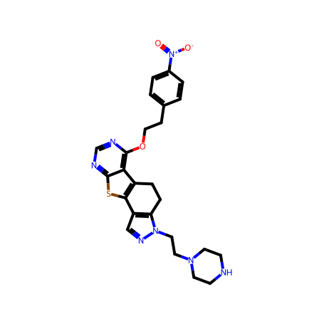 O=[N+]([O-])c1ccc(CCOc2ncnc3sc4c(c23)CCc2c-4cnn2CCN2CCNCC2)cc1